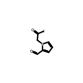 O=Cc1cccn1CC(=O)I